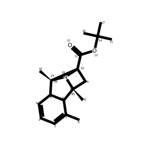 CC1=CC=CC2C1[C@@]1(C)CC3(C(=O)OC(C)(C)C)N1[C@]23C